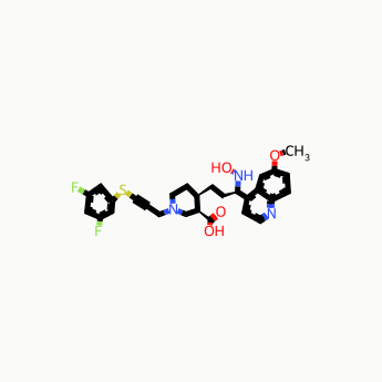 COc1ccc2nccc([C@@H](CC[C@@H]3CCN(CC#CSc4cc(F)cc(F)c4)C[C@@H]3C(=O)O)NO)c2c1